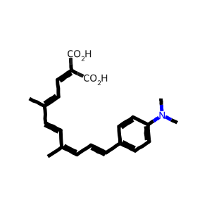 CC(C=CC(C)=CC=C(C(=O)O)C(=O)O)=CC=Cc1ccc(N(C)C)cc1